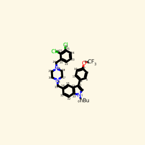 CCCCn1cc(-c2ccc(OC(F)(F)F)cc2)c2cc(CN3CCN(Cc4cccc(Cl)c4Cl)CC3)ccc21